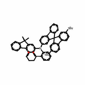 CC(C)(C)c1ccc2c(c1)C1(c3ccccc3-c3ccc(N(c4ccc5c(c4)C(C)(C)c4ccccc4-5)c4ccccc4C4=CC=CCC4)cc31)c1cc(C(C)(C)C)ccc1-2